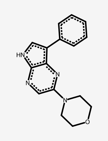 c1ccc(-c2c[nH]c3ncc(N4CCOCC4)nc23)cc1